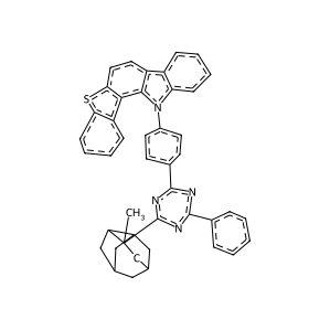 CC1(c2nc(-c3ccccc3)nc(-c3ccc(-n4c5ccccc5c5ccc6sc7ccccc7c6c54)cc3)n2)CC2CC3CC(C2)C1C3